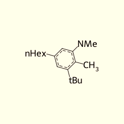 CCCCCCc1cc(NC)c(C)c(C(C)(C)C)c1